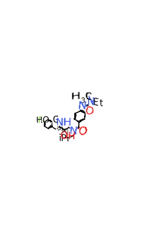 CCN(C)c1nc2ccc(C(=O)N(CC(C)C)C[C@@H](O)[C@H](Cc3ccc(F)cc3)NC(=O)O)cc2o1